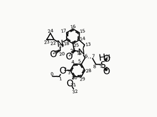 CCOc1cc([C@@H](CC[SH](=O)=O)N2Cc3cccc(N(C=O)C4CC4)c3C2=O)ccc1OC